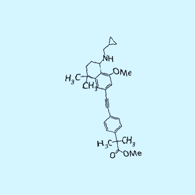 COC(=O)C(C)(C)c1ccc(C#Cc2cc(OC)c3c(c2)C(C)(C)CCC3NCC2CC2)cc1